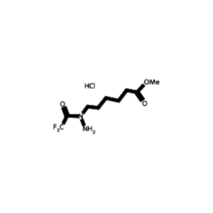 COC(=O)CCCCCN(N)C(=O)C(F)(F)F.Cl